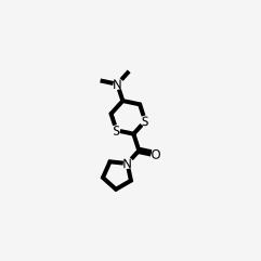 CN(C)C1CSC(C(=O)N2CCCC2)SC1